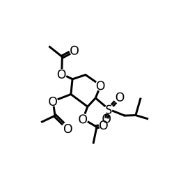 CC(=O)OC1COC(S(=O)(=O)CC(C)C)C(OC(C)=O)C1OC(C)=O